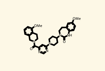 COc1ccc2c(c1)CCN(C1CCN(c3cc(C(=O)N4CCc5c(cccc5OC)C4)ncn3)CC1)C(=O)N2